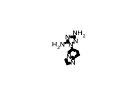 Nc1nc(N)n(-c2ccc3nccn3c2)n1